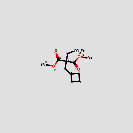 CCOC(=O)CC(CC1CCC1)(C(=O)OC(C)(C)C)C(=O)OC(C)(C)C